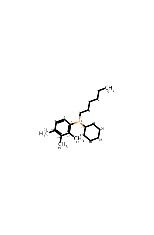 CCCCCCP(c1ccc(C)c(C)c1C)C1CCCCC1